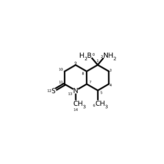 BC1(N)CCC(C)C2C1CCC(=S)N2C